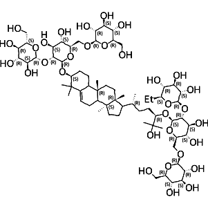 CC[C@@H]1O[C@H](O[C@H]2[C@H](O[C@H](CC[C@@H](C)C3CC[C@@]4(C)C5CC=C6C(CC[C@H](O[C@@H]7O[C@H](CO[C@@H]8O[C@H](CO)[C@@H](O)[C@H](O)[C@H]8O)[C@@H](O)[C@H](O)[C@H]7O[C@H]7O[C@@H](CO)[C@H](O)[C@@H](O)[C@@H]7O)C6(C)C)[C@]5(C)CC[C@]34C)C(C)(C)O)O[C@H](CO[C@@H]3O[C@H](CO)[C@@H](O)[C@H](O)[C@H]3O)[C@@H](O)[C@@H]2O)[C@@H](O)[C@H](O)[C@H]1O